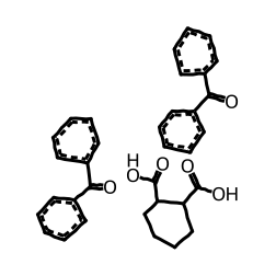 O=C(O)C1CCCCC1C(=O)O.O=C(c1ccccc1)c1ccccc1.O=C(c1ccccc1)c1ccccc1